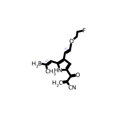 B/C(C)=C/c1[nH]c(C(=O)C(=C)C#N)cc1/C=C/OCCF